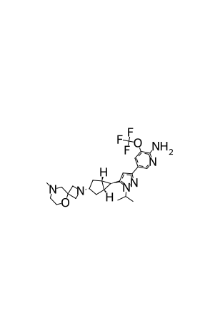 CC(C)n1nc(-c2cnc(N)c(OC(F)(F)F)c2)cc1[C@H]1[C@@H]2C[C@H](N3CC4(CN(C)CCO4)C3)C[C@@H]21